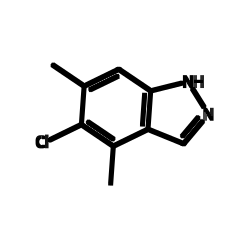 Cc1cc2[nH]ncc2c(C)c1Cl